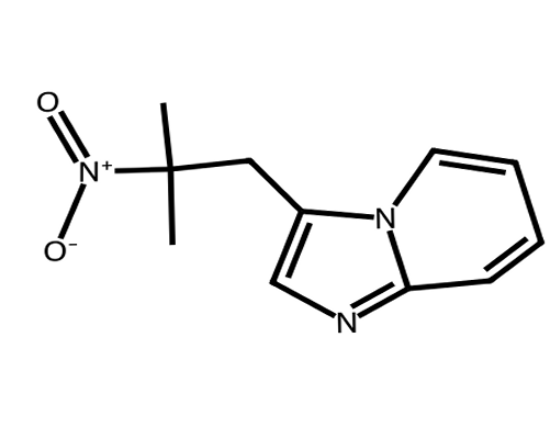 CC(C)(Cc1cnc2ccccn12)[N+](=O)[O-]